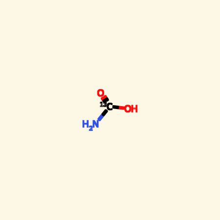 N[13C](=O)O